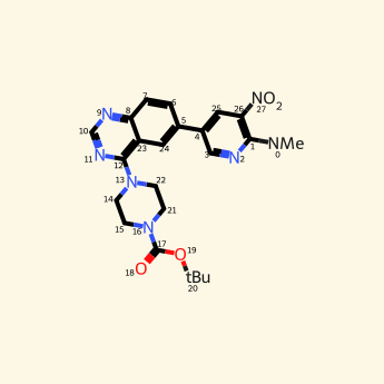 CNc1ncc(-c2ccc3ncnc(N4CCN(C(=O)OC(C)(C)C)CC4)c3c2)cc1[N+](=O)[O-]